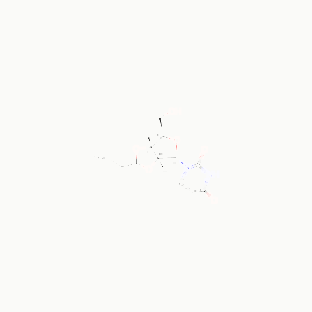 COCC1O[C@@H]2[C@H](O1)[C@@H](CO)O[C@H]2n1ccc(=O)[nH]c1=O